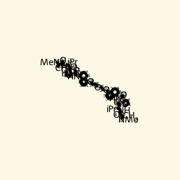 CNC(C)C(=O)NC(C(=O)N1CCC[C@H]1C(=O)N[C@@H]1CCCc2c(OCCOCCOc3cccc4c3CCC[C@H]4NC(=O)[C@@H]3CCCN3C(=O)C(NC(=O)C(C)NC)C(C)C)cccc21)C(C)C